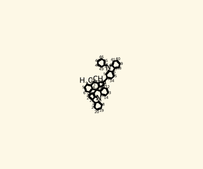 CC1(C)c2ccccc2C2(c3ccccc3-n3c4ccccc4c4cccc2c43)c2ccc(-c3ccc4c5ccccc5n(-c5ccccc5)c4c3)cc21